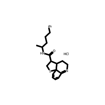 CC(C)CCCC(C)NC(=O)C1CSC23C=CC=CC2=NCCC13.Cl